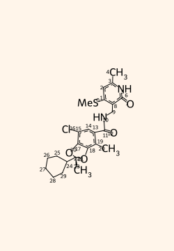 CSc1cc(C)[nH]c(=O)c1CNC(=O)c1cc(Cl)c2c(c1C)O[C@](C)(C1CCCCC1)O2